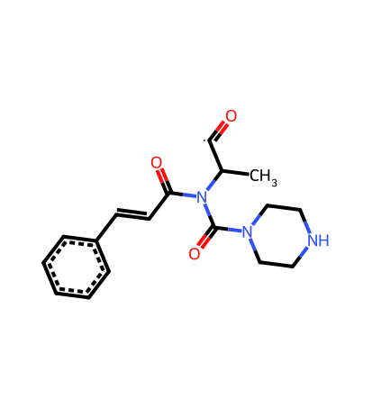 CC([C]=O)N(C(=O)C=Cc1ccccc1)C(=O)N1CCNCC1